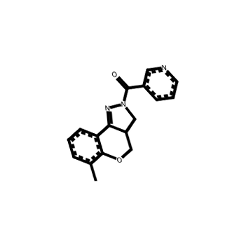 Cc1cccc2c1OCC1CN(C(=O)c3cccnc3)N=C21